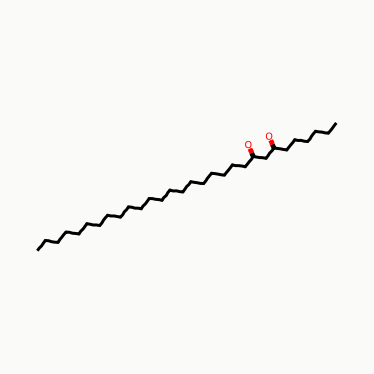 CCCCCCCCCCCCCCCCCCCCCC(=O)CC(=O)CCCCCC